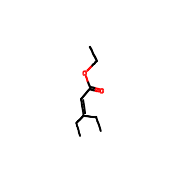 CCOC(=O)C=C(CC)CC